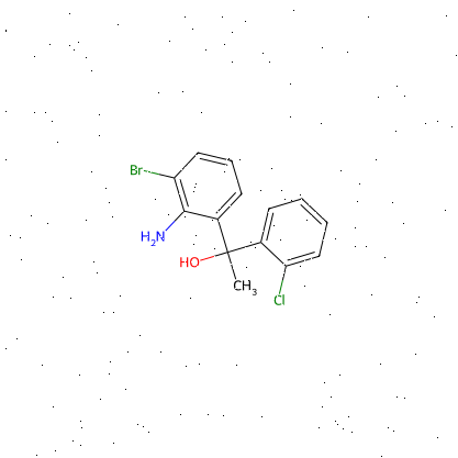 CC(O)(c1ccccc1Cl)c1cccc(Br)c1N